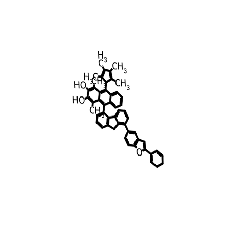 CC1=C(C)C(c2c3ccccc3c(-c3cccc4c3-c3cccc(-c5ccc6oc(C7=CCCC=C7)cc6c5)c3C4)c3c(C)c(O)c(O)c(C)c23)C(C)=C1C